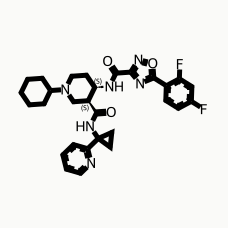 O=C(N[C@H]1CCN(C2CCCCC2)C[C@@H]1C(=O)NC1(c2ccccn2)CC1)c1noc(-c2ccc(F)cc2F)n1